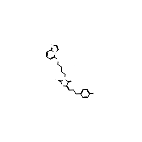 Cl.O=C1S/C(=C/CCc2ccc(F)cc2)C(=O)N1CCCCSc1cccc2nccn12